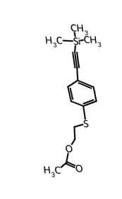 CC(=O)OCCSc1ccc(C#C[Si](C)(C)C)cc1